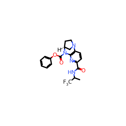 CC(NC(=O)c1ccc2c(n1)N(C(=O)Oc1ccccc1)[C@H]1CCN2C1)C(F)(F)F